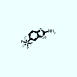 Nc1nc2ccc(S(F)(F)(F)(F)F)cc2[se]1